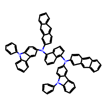 c1ccc(-n2c3ccccc3c3cc(N(c4ccc5cc6ccccc6cc5c4)c4cccc5c(N(c6ccc7cc8ccccc8cc7c6)c6ccc7c(c6)c6ccccc6n7-c6ccccc6)cccc45)ccc32)cc1